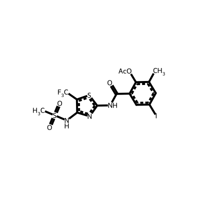 CC(=O)Oc1c(C)cc(I)cc1C(=O)Nc1nc(NS(C)(=O)=O)c(C(F)(F)F)s1